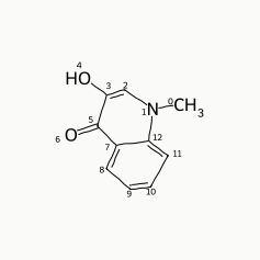 Cn1cc(O)c(=O)c2c[c]ccc21